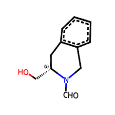 O=CN1Cc2ccccc2C[C@H]1CO